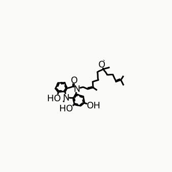 COC(C)(CCC=C(C)C)CCCC(C)=CCN1C(=O)c2cccc(O)c2N(C)c2c(O)cc(O)cc21